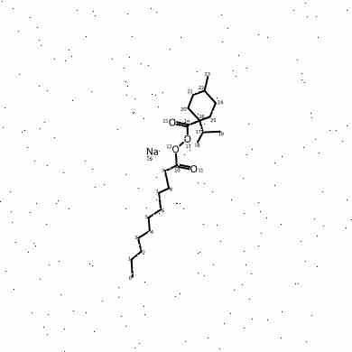 CCCCCCCCCCC(=O)OOC(=O)C1(C(C)C)CCC(C)CC1.[Na]